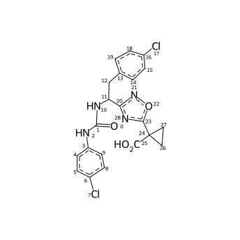 O=C(Nc1ccc(Cl)cc1)NC(Cc1ccc(Cl)cc1)c1noc(C2(C(=O)O)CC2)n1